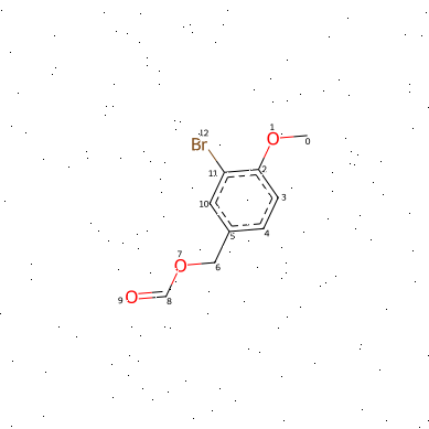 COc1ccc(COC=O)cc1Br